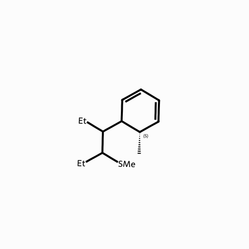 CCC(SC)C(CC)C1C=CC=C[C@@H]1C